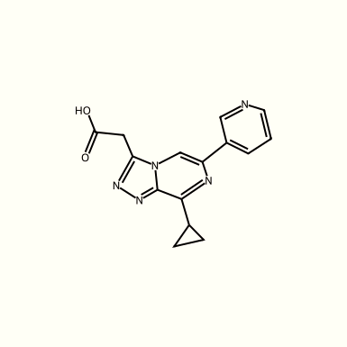 O=C(O)Cc1nnc2c(C3CC3)nc(-c3cccnc3)cn12